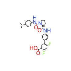 CC(C)c1ccc(NC(=O)N2CCC[C@@H]2C(=O)Nc2ccc(-c3cc(C(=O)O)c(F)cc3F)cc2)cc1